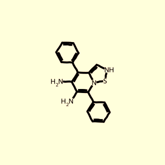 NC1=C(c2ccccc2)C2=CNSN2C(c2ccccc2)=C1N